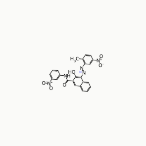 Cc1ccc([N+](=O)[O-])cc1/N=N/c1c(O)c(C(=O)Nc2cccc([N+](=O)[O-])c2)cc2ccccc12